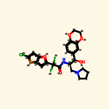 O=C(N[C@H](CN1CCCC1)[C@H](O)c1ccc2c(c1)OCCO2)C(F)(F)c1cc2sc(Cl)cc2o1